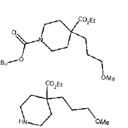 CCOC(=O)C1(CCCOC)CCN(C(=O)OC(C)(C)C)CC1.CCOC(=O)C1(CCCOC)CCNCC1